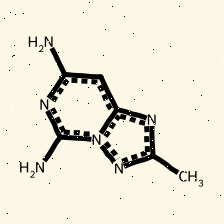 Cc1nc2cc(N)nc(N)n2n1